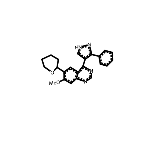 COc1cc2ncnc(-c3c[nH]nc3-c3ccccc3)c2cc1C1CCCCO1